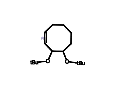 CC(C)(C)OC1/C=C\CCCCC1OC(C)(C)C